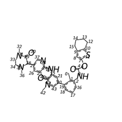 Cc1c(NC(=O)Oc2cc3c(s2)CCCC3)cccc1-c1cc(Nc2ccc(C3C(=O)N(C)CCN3C)cn2)c(=O)n(C)c1